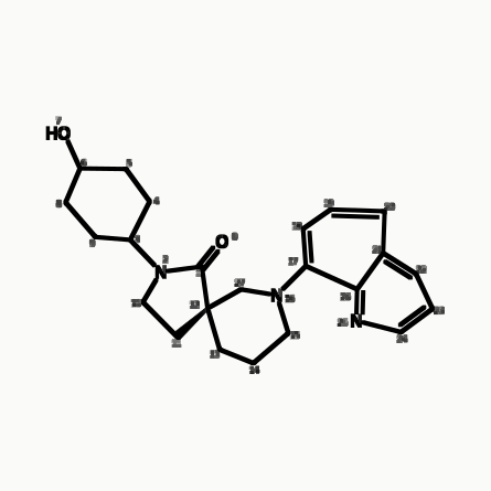 O=C1N(C2CCC(O)CC2)CC[C@@]12CCCN(c1cccc3cccnc13)C2